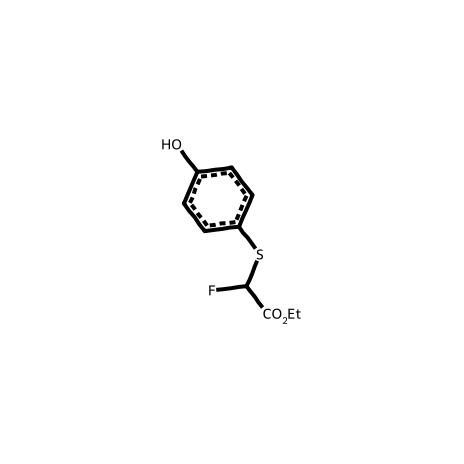 CCOC(=O)C(F)Sc1ccc(O)cc1